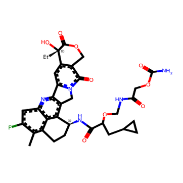 CC[C@@]1(O)C(=O)OCc2c1cc1n(c2=O)Cc2c-1nc1cc(F)c(C)c3c1c2[C@@H](NC(=O)C(CC1CC1)OCNC(=O)COC(N)=O)CC3